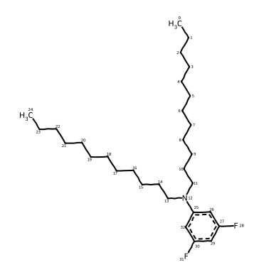 CCCCCCCCCCCCN(CCCCCCCCCCCC)c1cc(F)cc(F)c1